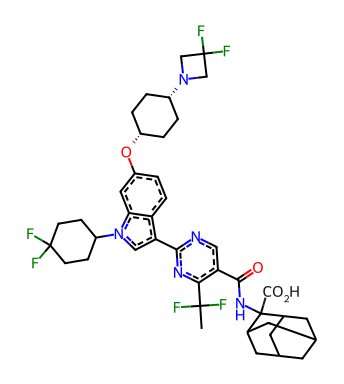 CC(F)(F)c1nc(-c2cn(C3CCC(F)(F)CC3)c3cc(O[C@H]4CC[C@@H](N5CC(F)(F)C5)CC4)ccc23)ncc1C(=O)NC1(C(=O)O)C2CC3CC(C2)CC1C3